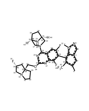 Cc1cc2cnn(C)c2c(-c2c(F)cc3c(N4C[C@H]5CC[C@@H](C4)N5)nc(OC[C@@]45CCCN4C[C@H](F)C5)nc3c2F)c1C(F)(F)F